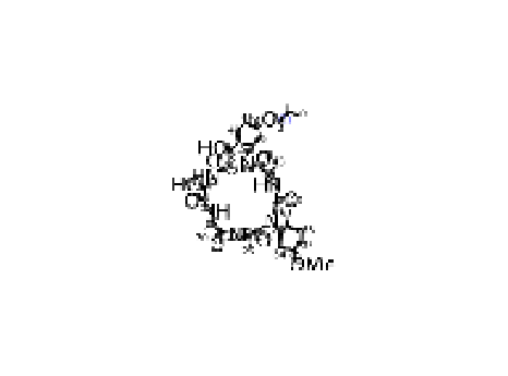 C/C=C/Oc1ccc([C@@H](O)[C@H]2C(=O)NC(O)C(=O)N[C@@H](C)C(=O)N[C@H](C)C(=O)N(C)[C@@H](Cc3ccc(OC)cc3)C(=O)N[C@H](C)C(=O)N2C)cc1